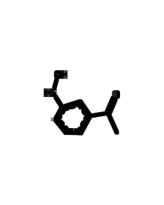 CC(=O)c1cc[c]c(NO)c1